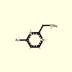 COCc1nccc(C(C)=O)n1